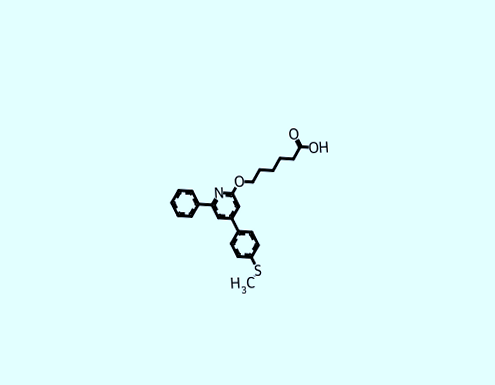 CSc1ccc(-c2cc(OCCCCCC(=O)O)nc(-c3ccccc3)c2)cc1